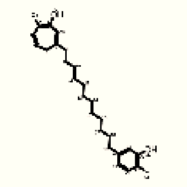 OC1=C(F)C=CCC(CCCCCCCCCCCCc2ccc(F)c(O)c2)=C1